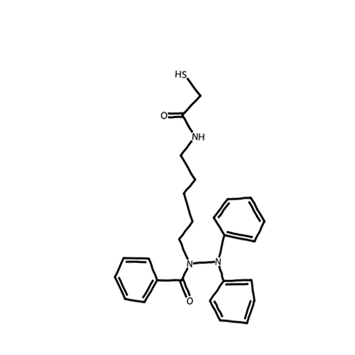 O=C(CS)NCCCCCN(C(=O)c1ccccc1)N(c1ccccc1)c1ccccc1